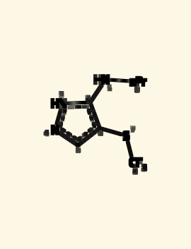 CCCNc1[nH]ncc1SC(F)(F)F